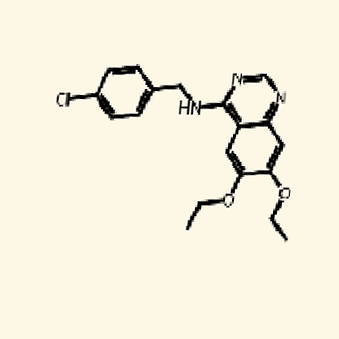 CCOc1cc2ncnc(NCc3ccc(Cl)cc3)c2cc1OCC